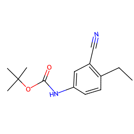 CCc1ccc(NC(=O)OC(C)(C)C)cc1C#N